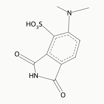 CN(C)c1ccc2c(c1S(=O)(=O)O)C(=O)NC2=O